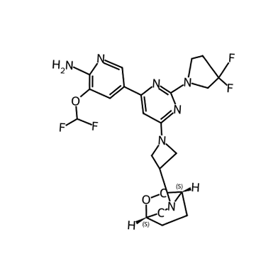 Nc1ncc(-c2cc(N3CC(N4C[C@@H]5CC[C@H]4CO5)C3)nc(N3CCC(F)(F)C3)n2)cc1OC(F)F